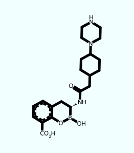 O=C(CC1CCC(N2CCNCC2)CC1)N[C@H]1Cc2cccc(C(=O)O)c2OB1O